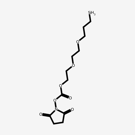 O=C(OCCOCCOCCC[SiH3])ON1C(=O)CCC1=O